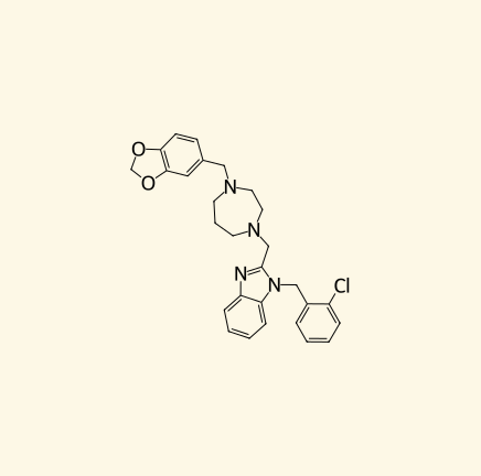 Clc1ccccc1Cn1c(CN2CCCN(Cc3ccc4c(c3)OCO4)CC2)nc2ccccc21